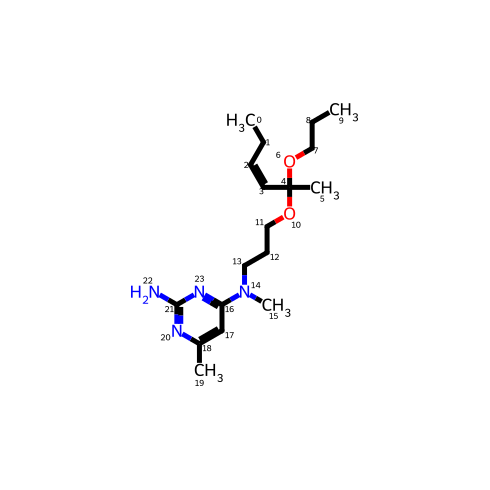 CC/C=C\C(C)(OCCC)OCCCN(C)c1cc(C)nc(N)n1